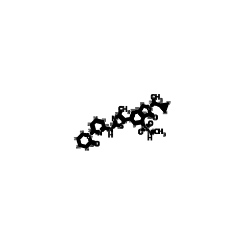 CNS(=O)(=O)c1cc(-c2sc(Nc3cccc(N4CCCCC4=O)n3)nc2C)cc2c1C(=O)N(C(C)C1CC1)C2